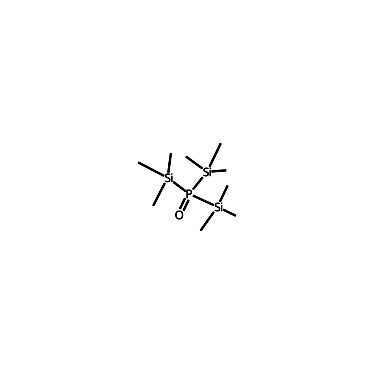 C[Si](C)(C)P(=O)([Si](C)(C)C)[Si](C)(C)C